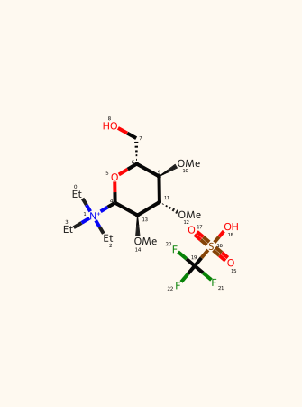 CC[N+](CC)(CC)C1O[C@H](CO)[C@@H](OC)[C@H](OC)[C@H]1OC.O=S(=O)(O)C(F)(F)F